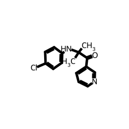 CC(C)(Nc1ccc(Cl)cc1)C(=O)c1cccnc1